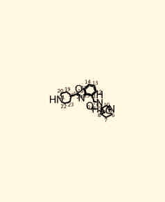 O=C(N[C@@H]1CN2CCC1CC2)c1cccc2oc(C3CCNCC3)nc12